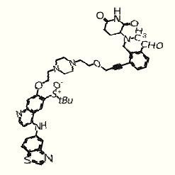 CN(Cc1c(C#CCOCCN2CCN(CCOc3cc4nccc(Nc5ccc6scnc6c5)c4cc3[S+]([O-])C(C)(C)C)CC2)cccc1C=O)C1CCC(=O)NC1=O